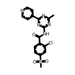 Cc1nc(NC(=O)c2ccc(S(C)(=O)=O)cc2Cl)nc(-c2ccncc2)n1